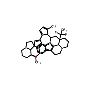 CCC12CCCN3CCC4(C=C(C5=CC=C(O)C5C5CC6(C(C)(F)F)CCCN7CCc8c(n5c5ccccc85)C76)N=C4CC1)C32